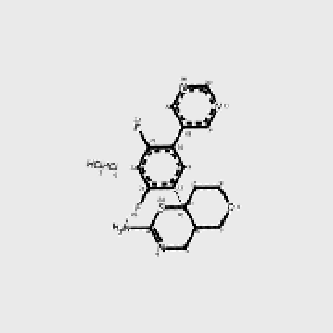 Cl.Cl.NC1=NCC2COCC[C@]2(c2cc(-c3cncnc3)c(F)cc2F)S1